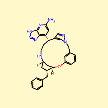 Nc1cc([C@H]2CCN[C@H]3C[C@H](Cc4ccccc4)[C@@H](C3)Oc3cccc(c3)Cn3cc2cn3)c2nn[nH]c2n1